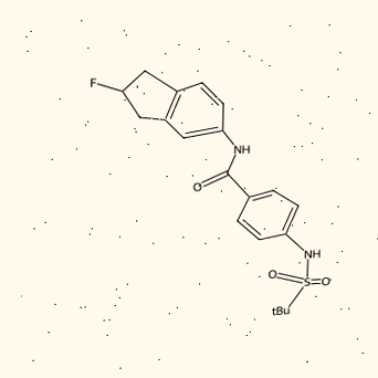 CC(C)(C)S(=O)(=O)Nc1ccc(C(=O)Nc2ccc3c(c2)CC(F)C3)cc1